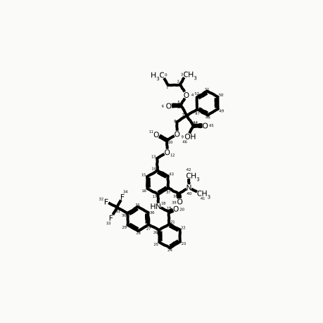 CCC(C)OC(=O)C(COC(=O)OCc1ccc(NC(=O)c2ccccc2-c2ccc(C(F)(F)F)cc2)c(C(=O)N(C)C)c1)(C(=O)O)c1ccccc1